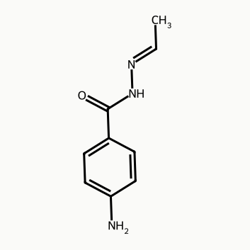 C/C=N/NC(=O)c1ccc(N)cc1